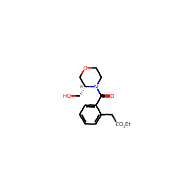 CCOC(=O)Cc1ccccc1C(=O)N1CCOC[C@H]1CO